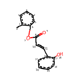 Cc1ccccc1OC(=O)C=Cc1ccccc1O